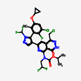 CC(OC(=O)N(CC(F)F)c1nc(-c2cnn(C(F)F)c2-c2c(F)c(Cl)cc(OC3CC3)c2C#N)cc2c(CCl)n[nH]c(=O)c12)C(C)(C)C